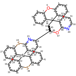 c1ccc2c(c1)Oc1ccccc1C21c2ccc(-c3ccc4c(n3)Sc3ccccc3[Si]43c4ccccc4Sc4ccccc43)cc2Oc2ncccc21